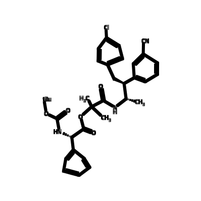 C[C@H](NC(=O)C(C)(C)OC(=O)[C@@H](NC(=O)OC(C)(C)C)c1ccccc1)[C@@H](Cc1ccc(Cl)cc1)c1cccc(C#N)c1